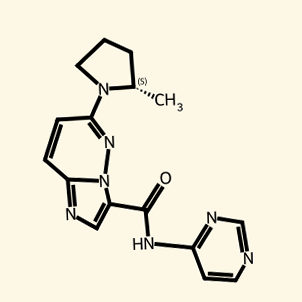 C[C@H]1CCCN1c1ccc2ncc(C(=O)Nc3ccncn3)n2n1